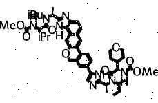 C/C=C(/C)N(C(=O)[C@@H](NC(=O)OC)C1CCOCC1)[C@@H](C)c1ncc(-c2ccc3c(c2)COc2cc4c(ccc5nc([C@H](C)N(C(=O)C(NC(=O)OC)C(C)C)[C@@H](C)CC)[nH]c54)cc2-3)[nH]1